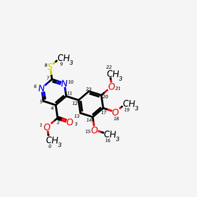 COC(=O)c1cnc(SC)nc1-c1cc(OC)c(OC)c(OC)c1